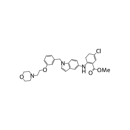 COC(=O)C1=C(Nc2ccc3c(ccn3Cc3cccc(OCCN4CCOCC4)c3)c2)CCC(Cl)=C1